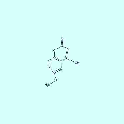 NCc1ccc2oc(=O)cc(O)c2n1